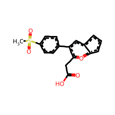 CS(=O)(=O)c1ccc(-c2cc3cccc-3oc2CC(=O)O)cc1